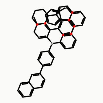 CC1C=C(c2cccc3cccc(C4CCCCC4)c23)C(N(c2ccc(-c3ccc4ccccc4c3)cc2)c2cccc(-c3cccc4sc5ccccc5c34)c2)=CC1